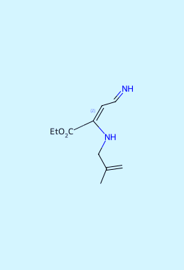 C=C(C)CN/C(=C\C=N)C(=O)OCC